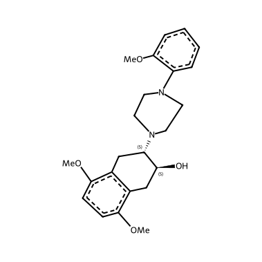 COc1ccccc1N1CCN([C@H]2Cc3c(OC)ccc(OC)c3C[C@@H]2O)CC1